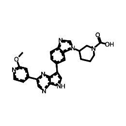 COc1cc(-c2cnc3[nH]cc(-c4ccc5ncn(C6CCCN(C(=O)O)C6)c5c4)c3n2)ccn1